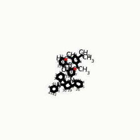 CC(C)c1cc(C(C)C)c(B2c3ccccc3Oc3cc(-n4c5ccccc5c5ccc6c(c7ccccc7n6-c6ccccc6)c54)ccc32)c(C(C)C)c1